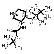 CC(C)(C)OC(=O)N[C@@H]1CNCC[C@H]1O[Si](C)(C)C(C)(C)C